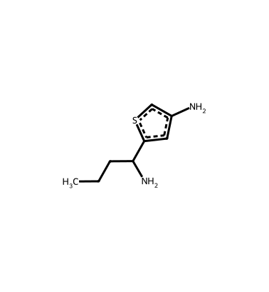 CCCC(N)c1cc(N)cs1